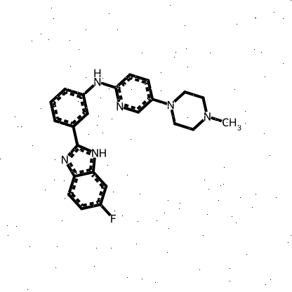 CN1CCN(c2ccc(Nc3cccc(-c4nc5ccc(F)cc5[nH]4)c3)nc2)CC1